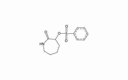 O=C1NCCCCC1OS(=O)(=O)c1ccccc1